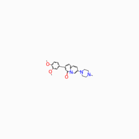 COc1ccc(C2=C\C(=O)N3C=C(N4CCN(C)CC4)C=C\C3=C/C=C/2)cc1OC